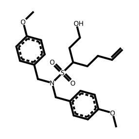 C=CCCC(CCO)S(=O)(=O)N(Cc1ccc(OC)cc1)Cc1ccc(OC)cc1